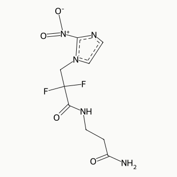 NC(=O)CCNC(=O)C(F)(F)Cn1ccnc1[N+](=O)[O-]